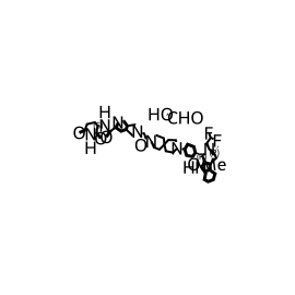 COc1cc(N2CCC3(CCN(C(=O)CN4Cc5cnc(C(=O)N[C@H]6CCC(=O)NC6=O)cc5C4)CC3)CC2)ccc1[C@@H]1c2[nH]c3ccccc3c2C[C@@H](C)N1CC(F)F.O=CO